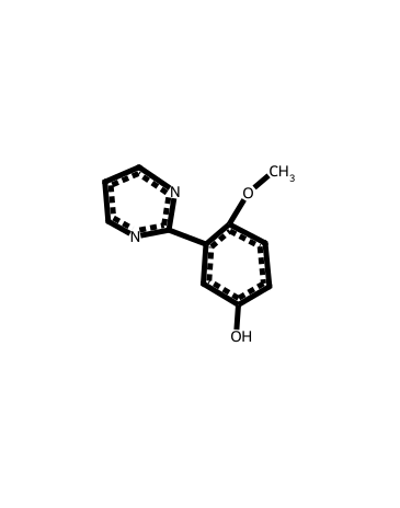 COc1ccc(O)cc1-c1ncccn1